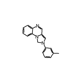 Cc1cccc(N2C=C3C=Nc4ccccc4N3C2)c1